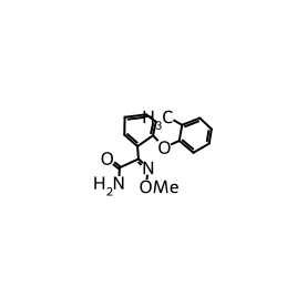 CON=C(C(N)=O)c1ccccc1Oc1ccccc1C